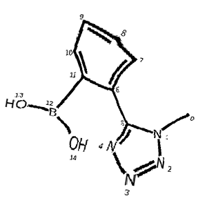 Cn1nnnc1-c1ccccc1B(O)O